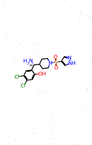 N[C@@H](c1cc(Cl)c(Cl)cc1O)C1CCN(S(=O)(=O)c2cn[nH]c2)CC1